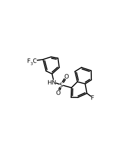 O=S(=O)(Nc1cccc(C(F)(F)F)c1)c1ccc(F)c2ccccc12